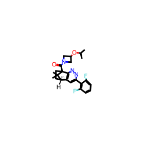 CC(C)OC1CN(C(=O)C23CC[C@@H](c4cc(-c5c(F)cccc5F)nnc42)C3(C)C)C1